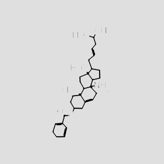 CC(C)C/C=C/CC1CCC2C1(C)CCC1C3(C)CCC(OC(=O)C4=CCCC=C4)CC3=CCC12N